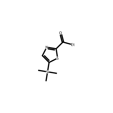 [CH2]CC(=O)c1ncc([Si](C)(C)C)s1